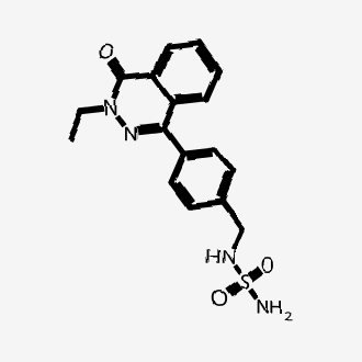 CCn1nc(-c2ccc(CNS(N)(=O)=O)cc2)c2ccccc2c1=O